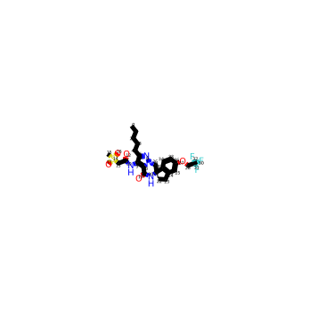 CCCCCc1nn2c(c1NC(=O)CS(C)(=O)=O)C(=O)N[C@@]1(CCc3cc(OCC(F)(F)F)ccc31)C2